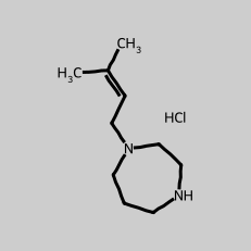 CC(C)=CCN1CCCNCC1.Cl